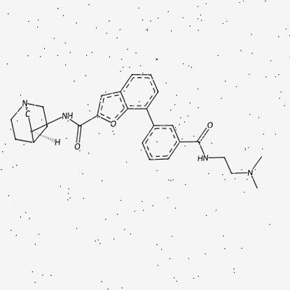 CN(C)CCNC(=O)c1cccc(-c2cccc3cc(C(=O)N[C@@H]4CN5CCC4CC5)oc23)c1